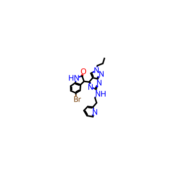 CCCn1cc2c(C3C(=O)Nc4ccc(Br)cc43)nc(NCCc3ccccn3)nc2n1